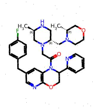 C[C@@H]1CN(CC(=O)N2c3cc(Cc4ccc(F)cc4)cnc3OCC2c2ccccn2)[C@@H](CN2CCOC[C@H]2C)CN1